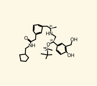 C[C@H](Cc1cccc(CC(=O)NCC2CCCC2)c1)NC[C@H](O[Si](C)(C)C(C)(C)C)c1ccc(O)c(CO)c1